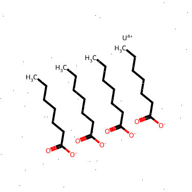 CCCCCCC(=O)[O-].CCCCCCC(=O)[O-].CCCCCCC(=O)[O-].CCCCCCC(=O)[O-].[U+4]